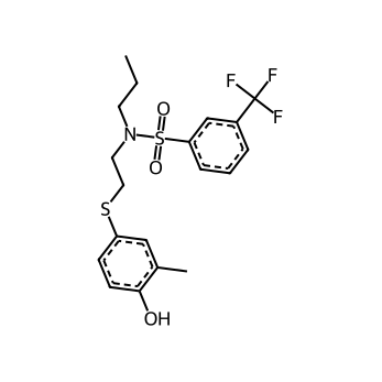 CCCN(CCSc1ccc(O)c(C)c1)S(=O)(=O)c1cccc(C(F)(F)F)c1